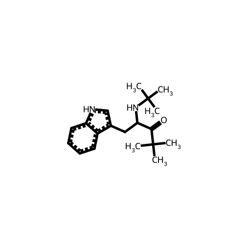 CC(C)(C)NC(Cc1c[nH]c2ccccc12)C(=O)C(C)(C)C